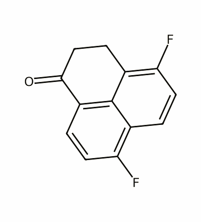 O=C1CCc2c(F)ccc3c(F)ccc1c23